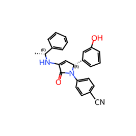 C[C@@H](NC1=C[C@H](c2cccc(O)c2)N(c2ccc(C#N)cc2)C1=O)c1ccccc1